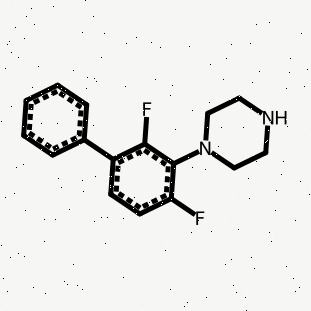 Fc1ccc(-c2ccccc2)c(F)c1N1CCNCC1